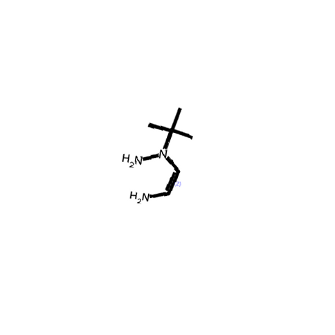 CC(C)(C)N(N)/C=C\N